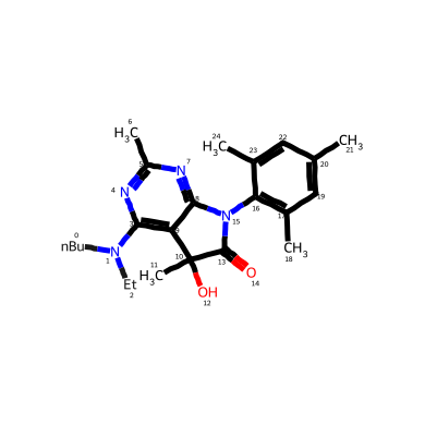 CCCCN(CC)c1nc(C)nc2c1C(C)(O)C(=O)N2c1c(C)cc(C)cc1C